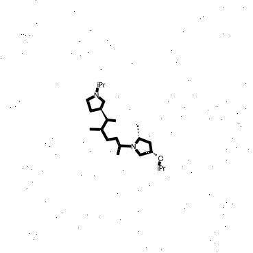 CC(C)O[C@H]1C[C@@H](C)N(C(C)CCC(C)C(C)[C@H]2CCN(C(C)C)C2)C1